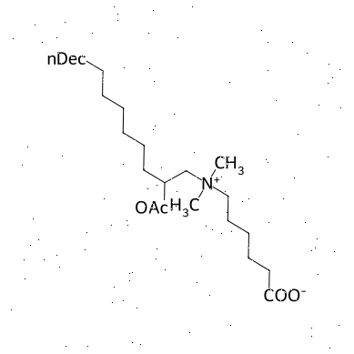 CCCCCCCCCCCCCCCCC(C[N+](C)(C)CCCCCC(=O)[O-])OC(C)=O